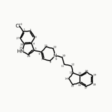 Clc1ccc2c(C3=CCN(CCCC4CCc5ccccc54)CC3)c[nH]c2c1